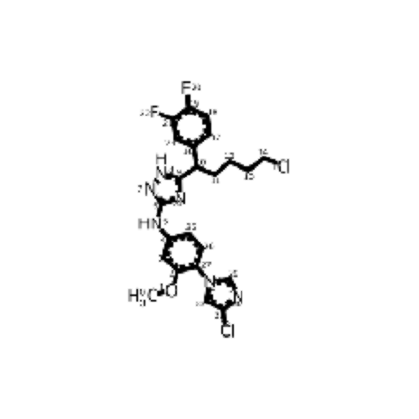 COc1cc(Nc2n[nH]c(C(CCCCCl)c3ccc(F)c(F)c3)n2)ccc1-n1cnc(Cl)c1